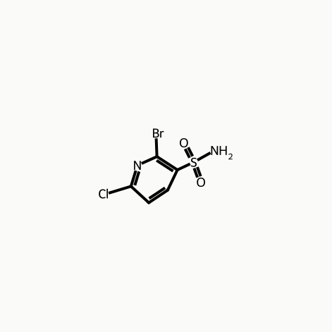 NS(=O)(=O)c1ccc(Cl)nc1Br